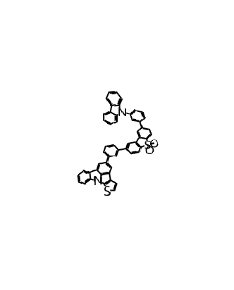 O=S1(=O)c2ccc(-c3cccc(-c4cc5c6ccccc6n6c7sccc7c(c4)c56)c3)cc2-c2cc(-c3cccc(-n4c5ccccc5c5ccccc54)c3)ccc21